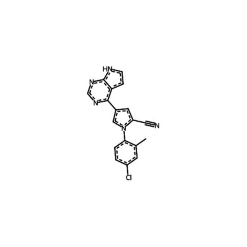 Cc1cc(Cl)ccc1-n1cc(-c2ncnc3[nH]ccc23)cc1C#N